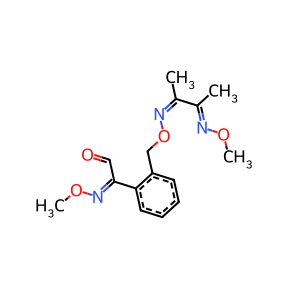 CON=C(C)C(C)=NOCc1ccccc1C(C=O)=NOC